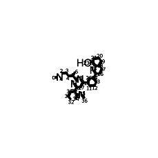 C=N/C=C\C=C(/C)c1nc(-c2cccc(-c3ccc4cccc(O)c4n3)c2)cc(C(/C=C\C)C(C)N=C)n1